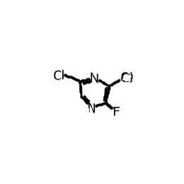 Fc1ncc(Cl)nc1Cl